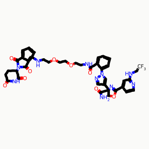 NC(=O)C1(c2cnn(-c3ccccc3C(=O)NCCOCCOCCNc3cccc4c3C(=O)N(C3CCC(=O)NC3=O)C4=O)c2)COC(c2ccnc(NCC(F)(F)F)c2)=N1